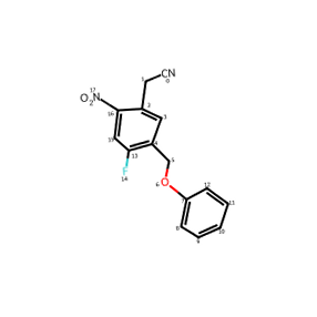 N#CCc1cc(COc2ccccc2)c(F)cc1[N+](=O)[O-]